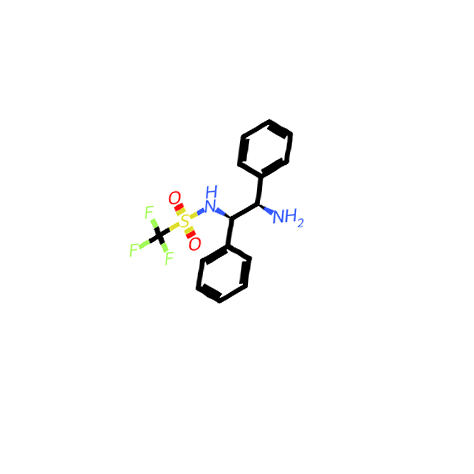 N[C@H](c1ccccc1)[C@H](NS(=O)(=O)C(F)(F)F)c1ccccc1